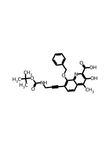 Cc1c(O)c(C(=O)O)nc2c(OCc3ccccc3)c(C#CCNC(=O)OC(C)(C)C)ccc12